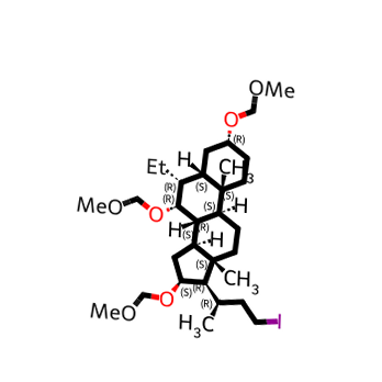 CC[C@H]1[C@@H](OCOC)[C@@H]2[C@H](CC[C@]3(C)[C@@H]([C@H](C)CCI)[C@@H](OCOC)C[C@@H]23)[C@@]2(C)CC[C@@H](OCOC)C[C@@H]12